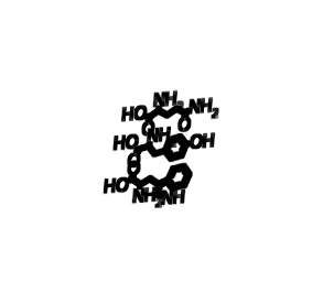 NC(=O)CCC(N)C(=O)O.NC(Cc1c[nH]c2ccccc12)C(=O)O.NC(Cc1ccc(O)cc1)C(=O)O